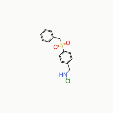 O=S(=O)(Cc1ccccc1)c1ccc(CNCl)cc1